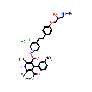 COC(=O)C1=C(C(F)(F)F)NC(C)=C(C(=O)ON2CCC(CCc3ccc(OCC(O)CNC(C)C)cc3)CC2)C1c1cccc([N+](=O)[O-])c1.Cl.Cl